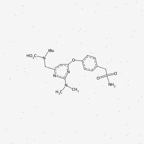 CN(C)c1nc(CN(C(=O)O)C(C)(C)C)cc(Oc2ccc(CS(N)(=O)=O)cc2)n1